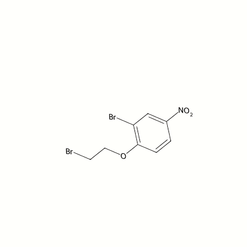 O=[N+]([O-])c1ccc(OCCBr)c(Br)c1